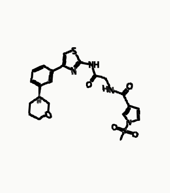 CS(=O)(=O)n1ccc(C(=O)NCC(=O)Nc2nc(-c3cccc([C@@H]4CCCOC4)c3)cs2)c1